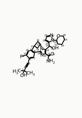 CC(C)(O)C#Cc1cc2c(cc1F)C1CC(C1)n1c-2nc(C(N)=O)c1C(O)c1ccnn1C1CCCCO1